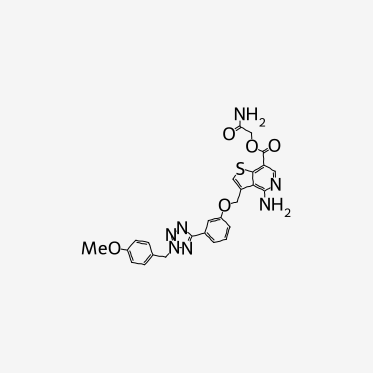 COc1ccc(Cn2nnc(-c3cccc(OCc4csc5c(C(=O)OCC(N)=O)cnc(N)c45)c3)n2)cc1